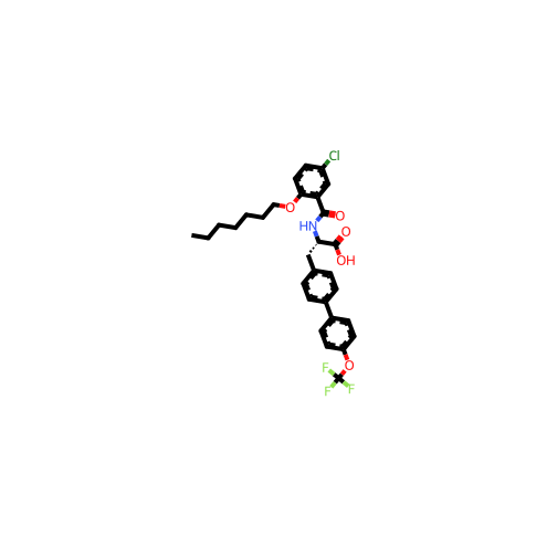 CCCCCCCOc1ccc(Cl)cc1C(=O)N[C@@H](Cc1ccc(-c2ccc(OC(F)(F)F)cc2)cc1)C(=O)O